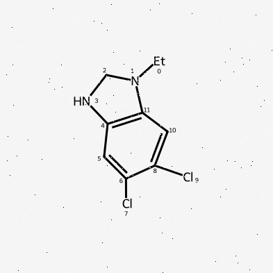 CCN1CNc2cc(Cl)c(Cl)cc21